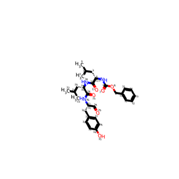 CC(C)C[C@H](NC(=O)OCc1ccccc1)C(=O)N[C@@H](CC(C)C)C(=O)N[C@H]([C]=O)Cc1ccc(O)cc1